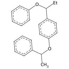 CCC(Oc1ccccc1)c1ccc(OC(C)c2ccccc2)cc1